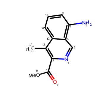 COC(=O)c1ncc2c(N)cccc2c1C